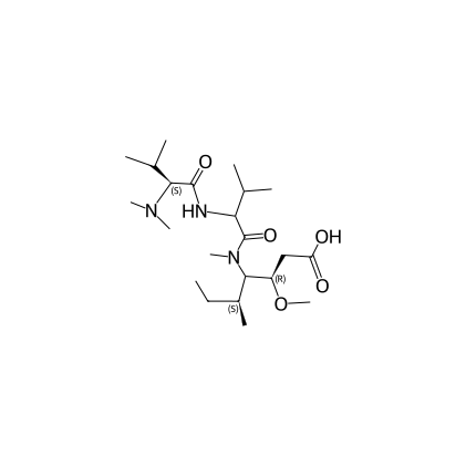 CC[C@H](C)C([C@@H](CC(=O)O)OC)N(C)C(=O)C(NC(=O)[C@H](C(C)C)N(C)C)C(C)C